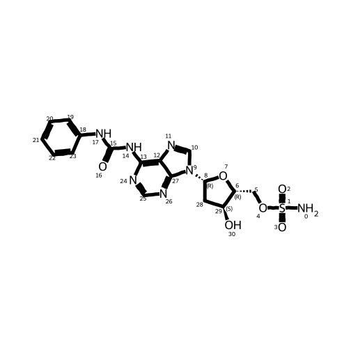 NS(=O)(=O)OC[C@H]1O[C@@H](n2cnc3c(NC(=O)Nc4ccccc4)ncnc32)C[C@@H]1O